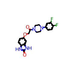 O=C(COc1ccc2[nH]c(=O)[nH]c2c1)N1CCN(c2ccc(F)c(F)c2)CC1